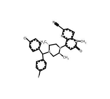 C[C@@H]1CN(c2cc(=O)n(C)c3ccc(C#N)nc23)[C@@H](C)CN1C(c1ccc(F)cc1)c1ccc(Cl)cc1